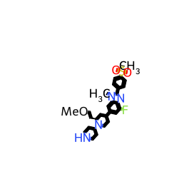 COCC[C@H]1CC(c2cc(F)c3nc(-c4ccc(S(C)(=O)=O)cc4)n(C)c3c2)CCN1C1CCNCC1